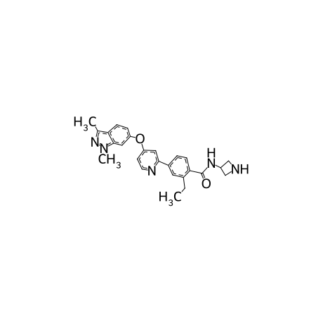 CCc1cc(-c2cc(Oc3ccc4c(C)nn(C)c4c3)ccn2)ccc1C(=O)NC1CNC1